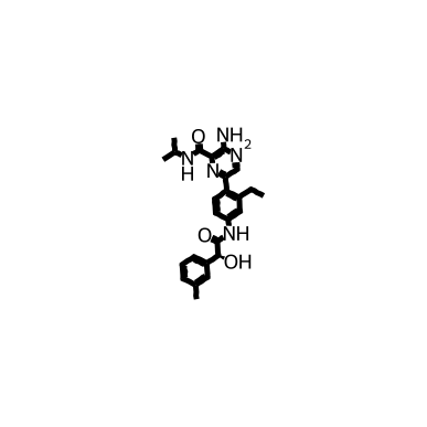 CCc1cc(NC(=O)[C@@H](O)c2cccc(C)c2)ccc1-c1cnc(N)c(C(=O)NC(C)C)n1